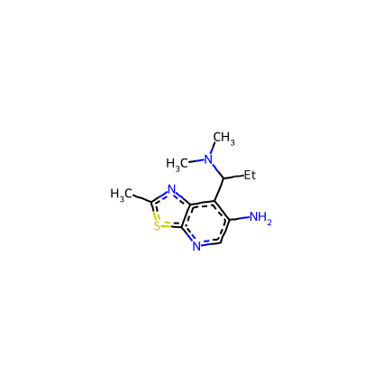 CCC(c1c(N)cnc2sc(C)nc12)N(C)C